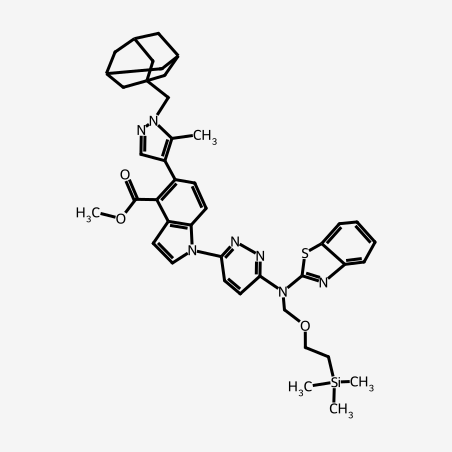 COC(=O)c1c(-c2cnn(CC34CC5CC(CC(C5)C3)C4)c2C)ccc2c1ccn2-c1ccc(N(COCC[Si](C)(C)C)c2nc3ccccc3s2)nn1